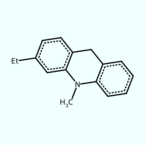 CCc1ccc2c(c1)N(C)c1ccccc1C2